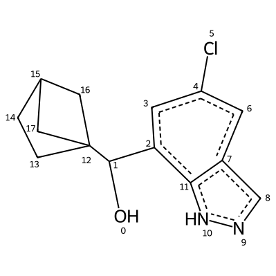 OC(c1cc(Cl)cc2cn[nH]c12)C12CCC(C1)C2